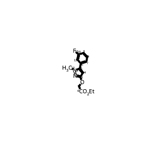 CCOC(=O)COc1cc(-c2cccc(F)c2)n(C)n1